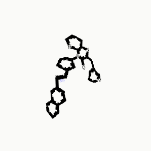 O=c1c(Cc2cccnc2)nc2cccnc2n1-c1cccc(/C=C/c2ccc3ccccc3c2)c1